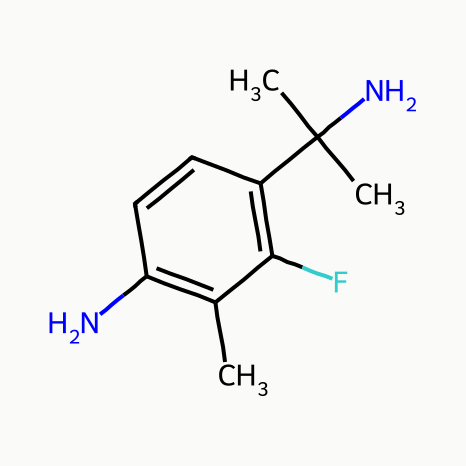 Cc1c(N)ccc(C(C)(C)N)c1F